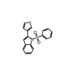 O=S(=O)(c1ccccc1)n1c(-c2ccsc2)cc2ccccc21